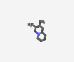 CC1=C(C)CN2[C]=CC=CC2=C1